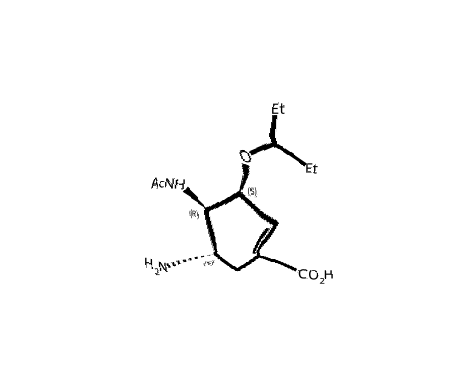 CCC(CC)O[C@H]1C=C(C(=O)O)C[C@H](N)[C@H]1NC(C)=O